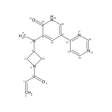 C=CC(=O)N1CC(N(C)c2cc(-c3ccncn3)c[nH]c2=O)C1